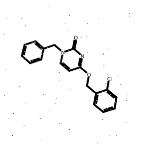 O=c1nc(OCc2ccccc2Cl)ccn1Cc1ccccc1